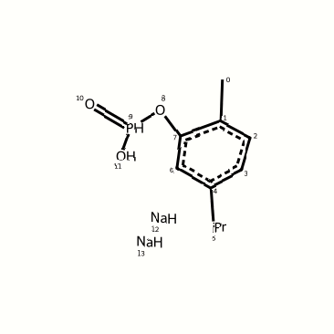 Cc1ccc(C(C)C)cc1O[PH](=O)O.[NaH].[NaH]